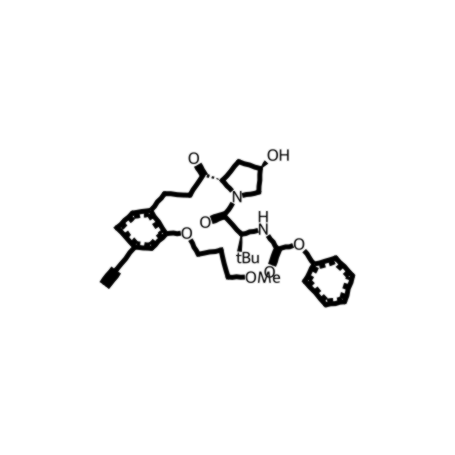 C#Cc1ccc(CCC(=O)[C@@H]2C[C@@H](O)CN2C(=O)[C@@H](NC(=O)Oc2ccccc2)C(C)(C)C)c(OCCCOC)c1